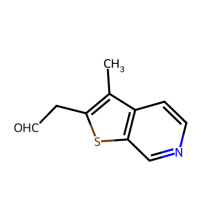 Cc1c(CC=O)sc2cnccc12